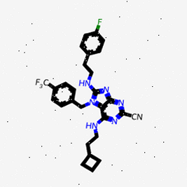 N#Cc1nc(NCCC2CCC2)c2c(n1)nc(NCCc1ccc(F)cc1)n2Cc1ccc(C(F)(F)F)cc1